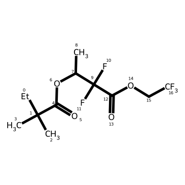 CCC(C)(C)C(=O)OC(C)C(F)(F)C(=O)OCC(F)(F)F